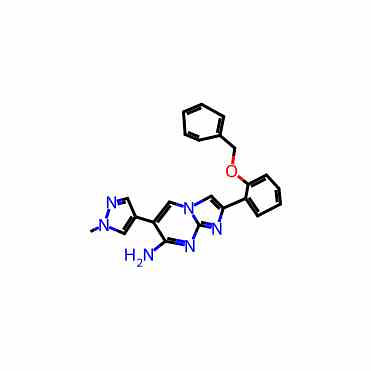 Cn1cc(-c2cn3cc(-c4ccccc4OCc4ccccc4)nc3nc2N)cn1